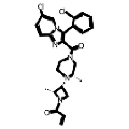 C=CC(=O)N1C[C@@H](N2CCN(C(=O)c3nc4ccc(Cl)cn4c3-c3ccccc3Cl)C[C@@H]2C)[C@H]1C